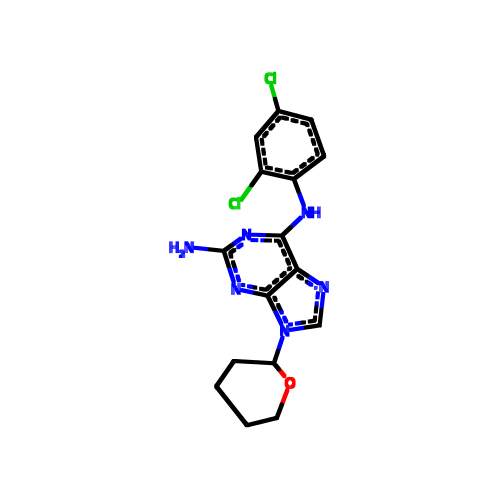 Nc1nc(Nc2ccc(Cl)cc2Cl)c2ncn(C3CCCCO3)c2n1